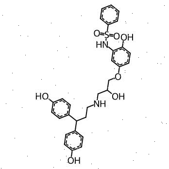 O=S(=O)(Nc1cc(OCC(O)CNCCC(c2ccc(O)cc2)c2ccc(O)cc2)ccc1O)c1ccccc1